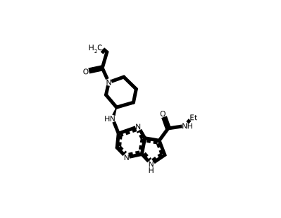 C=CC(=O)N1CCC[C@@H](Nc2cnc3[nH]cc(C(=O)NCC)c3n2)C1